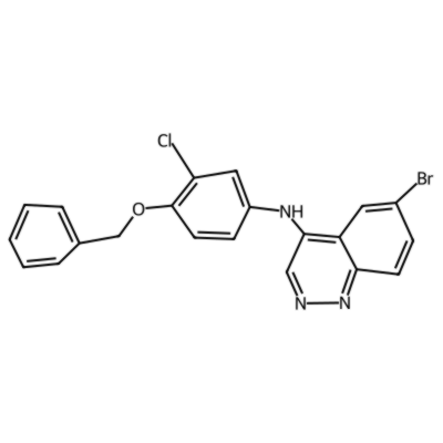 Clc1cc(Nc2cnnc3ccc(Br)cc23)ccc1OCc1ccccc1